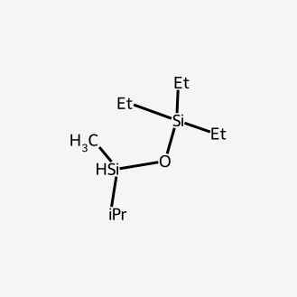 CC[Si](CC)(CC)O[SiH](C)C(C)C